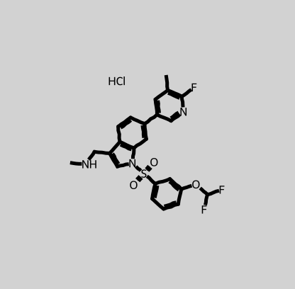 CNCc1cn(S(=O)(=O)c2cccc(OC(F)F)c2)c2cc(-c3cnc(F)c(C)c3)ccc12.Cl